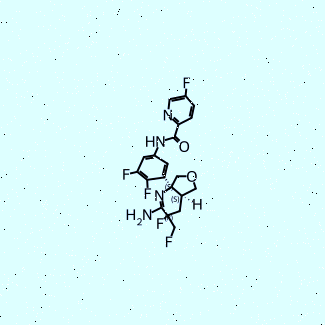 NC1=N[C@@]2(c3cc(NC(=O)c4ccc(F)cn4)cc(F)c3F)COC[C@H]2C[C@]1(F)CF